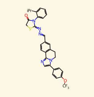 CC(C)c1ccccc1N1C(=O)CS/C1=N\N=C\c1ccc2c(c1)CCn1c(-c3ccc(OC(F)(F)F)cc3)cnc1-2